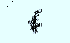 O=C1CN(S(=O)(=O)C=Cc2ccc(Cl)s2)C[C@H](CO)N1Cc1cc2cnccc2[nH]1